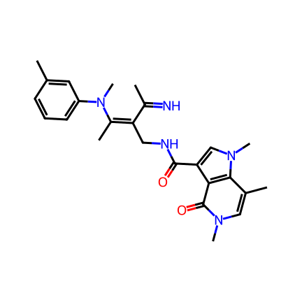 CC(=N)/C(CNC(=O)c1cn(C)c2c(C)cn(C)c(=O)c12)=C(/C)N(C)c1cccc(C)c1